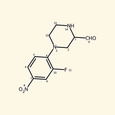 O=CC1CN(c2ccc([N+](=O)[O-])cc2F)CCN1